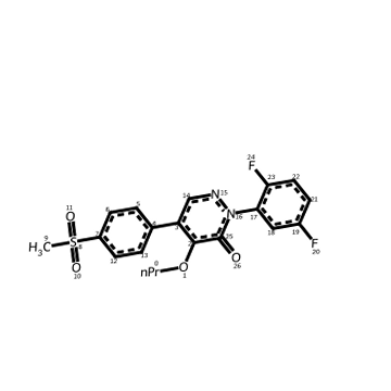 CCCOc1c(-c2ccc(S(C)(=O)=O)cc2)cnn(-c2cc(F)ccc2F)c1=O